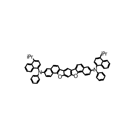 CC(C)c1ccc(N(c2ccccc2)c2ccc3c(ccc4c5cc6c(cc5oc34)oc3c4ccc(N(c5ccccc5)c5ccc(C(C)C)c7ccccc57)cc4ccc63)c2)c2ccccc12